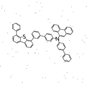 c1ccc(-c2ccc(N(c3ccc(-c4cccc(-c5cccc6c5sc5c(-c7ccccc7)cccc56)c4)cc3)c3cc4ccccc4c4ccccc34)cc2)cc1